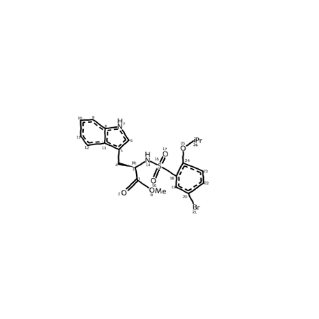 COC(=O)[C@@H](Cc1c[nH]c2ccccc12)NS(=O)(=O)c1cc(Br)ccc1OC(C)C